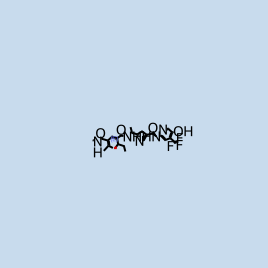 CCC(C)/C(=C\C(C(=O)NC)=C(C)C)C(=O)NC(C)C1=NC=C(C(=O)Nc2cc(C(F)(F)F)c(O)cn2)C1